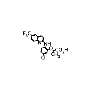 CC(Oc1cc(Cl)ccc1Nc1ccc2cc(C(F)(F)F)ccc2n1)C(=O)O